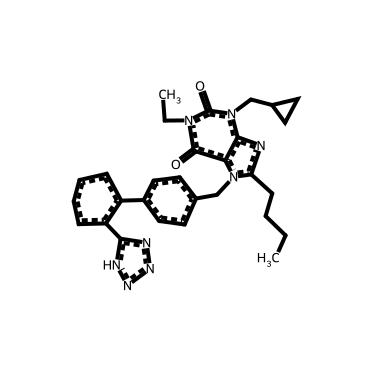 CCCCc1nc2c(c(=O)n(CC)c(=O)n2CC2CC2)n1Cc1ccc(-c2ccccc2-c2nnn[nH]2)cc1